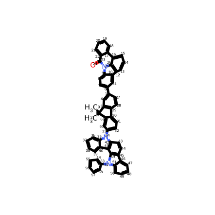 CC1(C)c2cc(-c3ccc4c(c3)c3cccc5c6ccccc6c(=O)n4c53)ccc2-c2ccc(-n3c4ccccc4c4c3ccc3c5ccccc5n(-c5ccccc5)c34)cc21